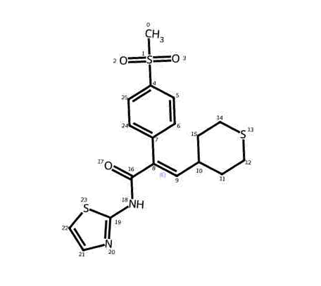 CS(=O)(=O)c1ccc(/C(=C\C2CCSCC2)C(=O)Nc2nccs2)cc1